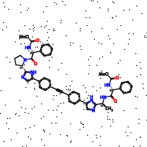 COC(=O)N[C@@H](C(=O)N[C@@H](C)c1ncc(-c2ccc(C#Cc3ccc(-c4cnc([C@@H]5CCCN5C(=O)[C@H](NC(=O)OC)c5ccccc5)[nH]4)cc3)cc2)[nH]1)c1ccccc1